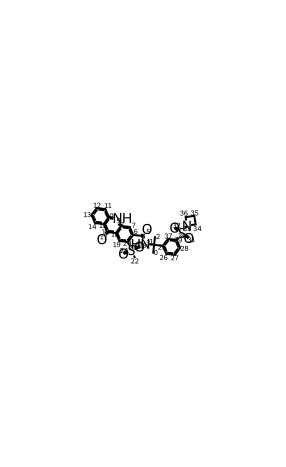 CC(C)(NC(=O)c1cc2[nH]c3ccccc3c(=O)c2cc1S(C)(=O)=O)c1cccc(S(=O)(=O)N2CCC2)c1